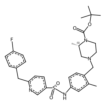 Cc1cc(NS(=O)(=O)c2ccc(Cc3ccc(F)cc3)nc2)ccc1CN1CCN(C(=O)OC(C)(C)C)[C@@H](C)C1